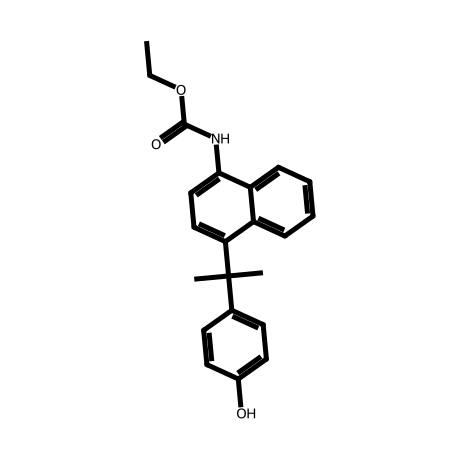 CCOC(=O)Nc1ccc(C(C)(C)c2ccc(O)cc2)c2ccccc12